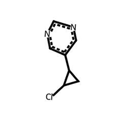 ClC1CC1c1cncnc1